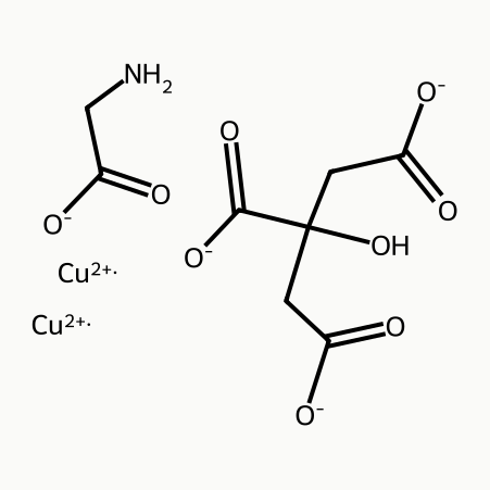 NCC(=O)[O-].O=C([O-])CC(O)(CC(=O)[O-])C(=O)[O-].[Cu+2].[Cu+2]